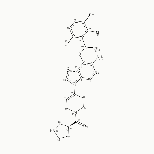 C[C@@H](Oc1c(N)ncc2c(C3=CCN(C(=O)[C@H]4CCNC4)CC3)coc12)c1c(Cl)ccc(F)c1Cl